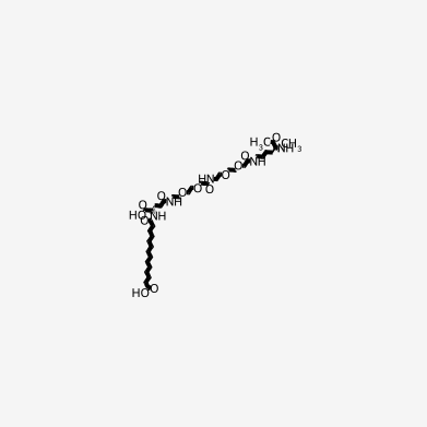 CN[C@@H](CCCCNC(=O)COCCOCCNC(=O)COCCOCCNC(=O)CC[C@H](NC(=O)CCCCCCCCCCCCC(=O)O)C(=O)O)C(C)=O